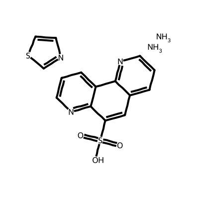 N.N.O=S(=O)(O)c1cc2cccnc2c2cccnc12.c1cscn1